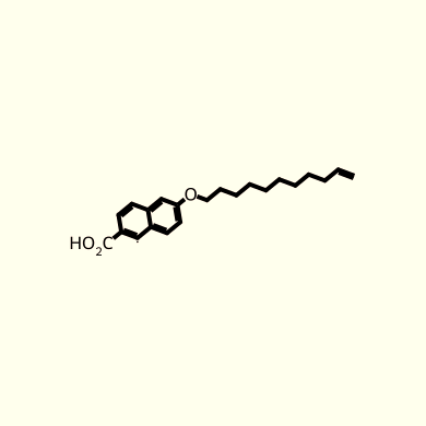 C=CCCCCCCCCCOc1ccc2[c]c(C(=O)O)ccc2c1